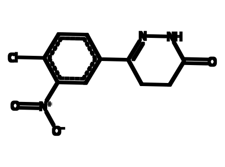 O=C1CCC(c2ccc(Cl)c([N+](=O)[O-])c2)=NN1